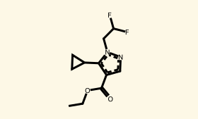 CCOC(=O)c1cnn(CC(F)F)c1C1CC1